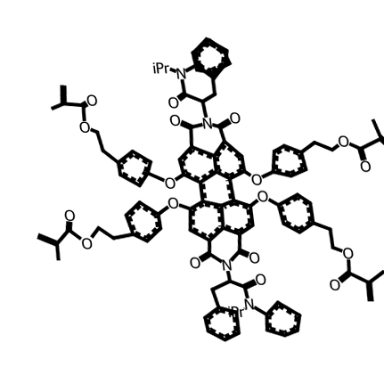 C=C(C)C(=O)OCCc1ccc(Oc2cc3c4c(cc(Oc5ccc(CCOC(=O)C(=C)C)cc5)c5c6c(Oc7ccc(CCOC(=O)C(=C)C)cc7)cc7c8c(cc(Oc9ccc(CCOC(=O)C(=C)C)cc9)c(c2c45)c86)C(=O)N(C(Cc2ccccc2)C(=O)N(c2ccccc2)C(C)C)C7=O)C(=O)N(C(Cc2ccccc2)C(=O)N(c2ccccc2)C(C)C)C3=O)cc1